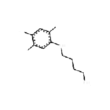 NCCCCNc1cc(F)c(S)cc1Cl